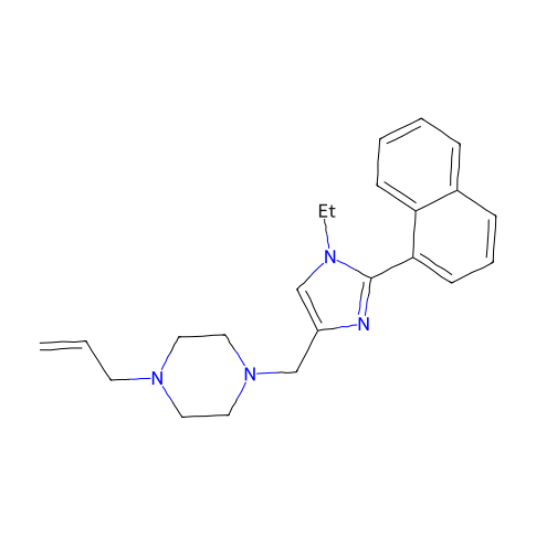 C=CCN1CCN(Cc2cn(CC)c(-c3cccc4ccccc34)n2)CC1